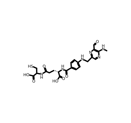 CNc1ncc(CNc2ccc(C(=O)N[C@@H](CCC(=O)NC(CS)C(=O)O)C(=O)O)cc2)nc1C=O